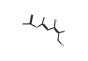 C=C(C)O/C(C)=C/C(Br)=C(/F)CCl